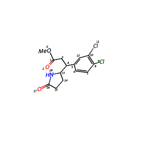 COC(=O)CC(c1ccc(Cl)c(Cl)c1)C1CCC(=O)N1